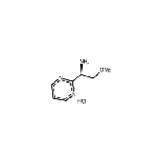 COC[C@H](N)c1ncccn1.Cl